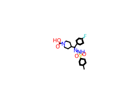 Cc1ccc(S(=O)(=O)NN=C(c2ccc(F)cc2)C2CCN(C(=O)O)CC2)cc1